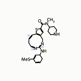 CSC1=CC(NC2=N/Cc3cc(C(=O)N(C)C4CCNCC4)sc3/C=C\C/C=N\2)CC=C1